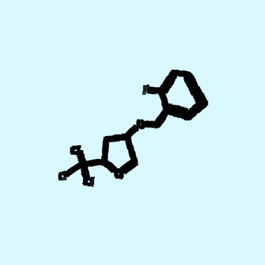 Fc1ccccc1COC1COC(C(Cl)(Cl)Cl)C1